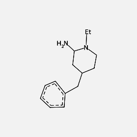 CCN1CCC(Cc2ccccc2)CC1N